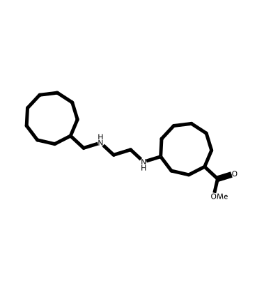 COC(=O)C1CCCCCC(NCCNCC2CCCCCCCC2)CC1